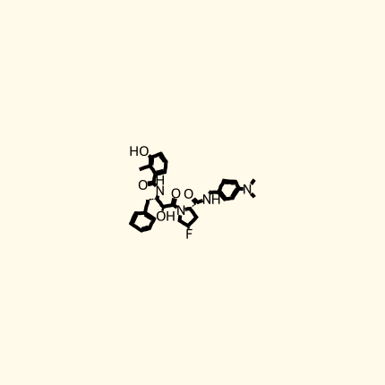 Cc1c(O)cccc1C(=O)N[C@@H](Cc1ccccc1)[C@H](O)C(=O)N1C[C@H](F)C[C@H]1C(=O)NCc1ccc(N(C)C)cc1